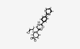 O=CCC[C@H](NC(=O)c1ccc(-c2ncccn2)cc1)C(=O)N1CCS(=O)(=O)CC1